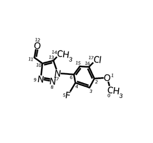 COc1cc(F)c(-n2nnc(C=O)c2C)cc1Cl